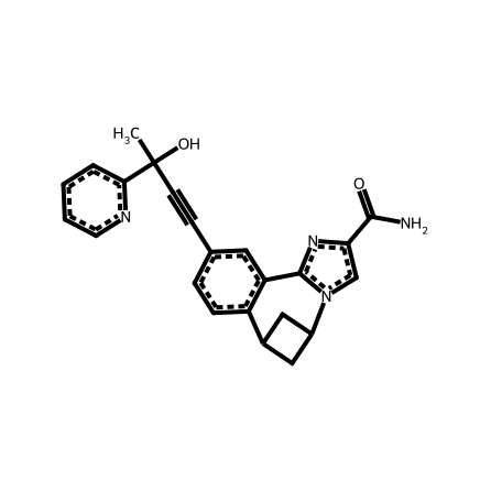 CC(O)(C#Cc1ccc2c(c1)-c1nc(C(N)=O)cn1C1CC2C1)c1ccccn1